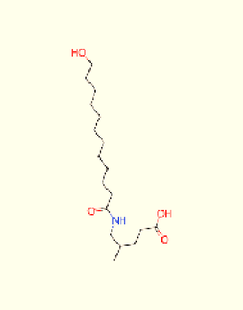 CC(CCC(=O)O)CNC(=O)CCCCCCCCCCCO